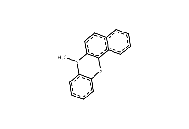 CN1c2ccccc2Sc2c1ccc1ccccc21